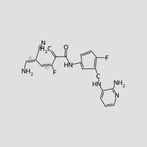 C=C(C(=O)Nc1ccc(F)c(CNc2cccnc2N)c1)/C(F)=C\C(C#N)=C/N